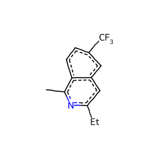 CCc1cc2cc(C(F)(F)F)ccc2c(C)n1